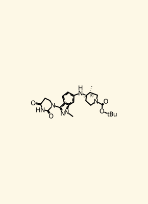 C[C@@H]1CN(C(=O)OC(C)(C)C)CC[C@H]1Nc1ccc2c(N3CCC(=O)NC3=O)nn(C)c2c1